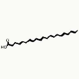 C/C=C/C/C=C/C/C=C/C/C=C/C/C=C/C/C=C/CCC(=O)O